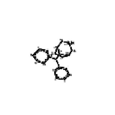 c1ccc(C(c2ccccc2)N2C3CCC2CNC3)cc1